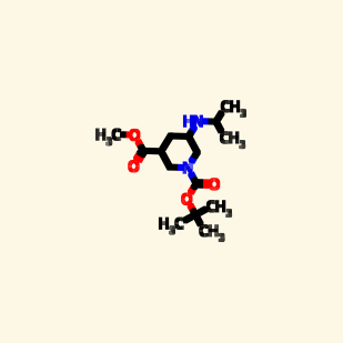 COC(=O)C1CC(NC(C)C)CN(C(=O)OC(C)(C)C)C1